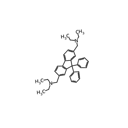 CCN(CC)Cc1ccc2c(c1)C(c1ccccc1)(c1ccccc1)c1cc(CN(CC)CC)ccc1-2